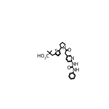 CC(C)(Cc1ccc(C2CCCN2C(=O)Cc2ccc(NC(=O)Nc3ccccc3)nc2)s1)C(=O)O